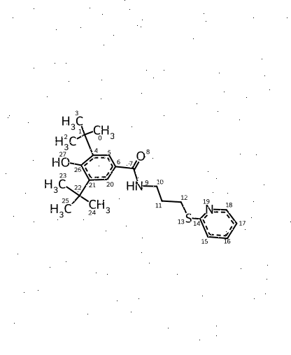 CC(C)(C)c1cc(C(=O)NCCCSc2ccccn2)cc(C(C)(C)C)c1O